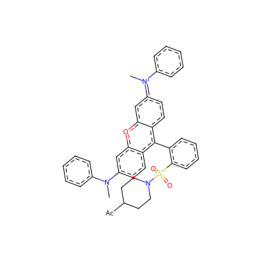 CC(=O)C1CCN(S(=O)(=O)c2ccccc2-c2c3cc/c(=[N+](/C)c4ccccc4)cc-3oc3cc(N(C)c4ccccc4)ccc23)CC1